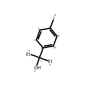 CCC(O)(CC)c1ccc(I)cc1